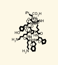 CCC(C)C(NC(=O)C(Cc1ccc(O)cc1)NC(=O)C1CCCN1C(=O)C(CCCCN)NC(=O)C(CCCCN)NC(=O)C(Cc1ccccc1)NC(=O)C(Cc1ccccc1)NC(=O)C(N)CCCNC(=N)N)C(=O)N[C@H](CC(C)C)C(=O)O